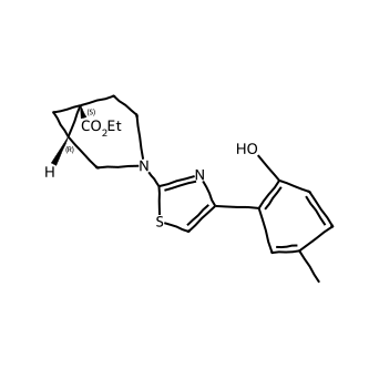 CCOC(=O)[C@@]12CCN(c3nc(-c4cc(C)ccc4O)cs3)C[C@@H]1C2